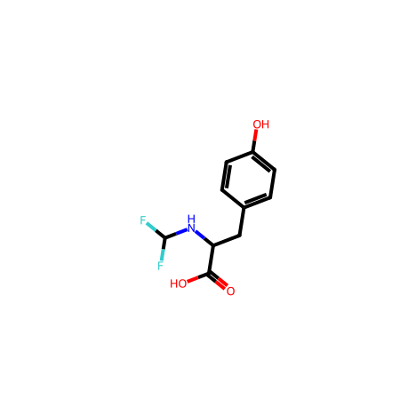 O=C(O)C(Cc1ccc(O)cc1)NC(F)F